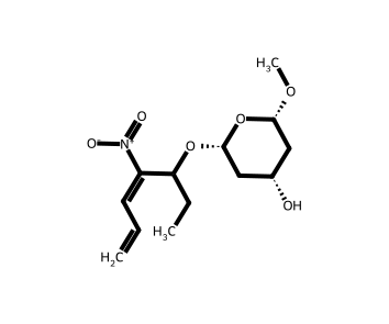 C=C/C=C(\C(CC)O[C@H]1C[C@@H](O)C[C@@H](OC)O1)[N+](=O)[O-]